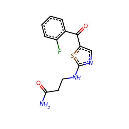 NC(=O)CCNc1ncc(C(=O)c2ccccc2F)s1